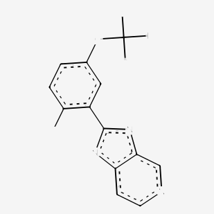 Fc1ccc(OC(F)(F)F)cc1-c1nc2ccncc2[nH]1